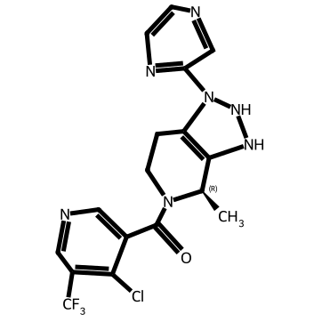 C[C@@H]1C2=C(CCN1C(=O)c1cncc(C(F)(F)F)c1Cl)N(c1cnccn1)NN2